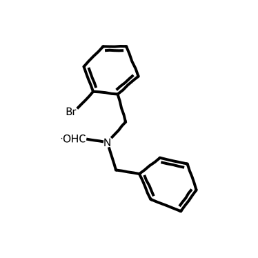 O=[C]N(Cc1ccccc1)Cc1ccccc1Br